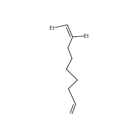 C=CCCCCCC(=CCC)CC